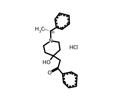 C[C@H](c1ccccc1)N1CCC(O)(CC(=O)c2ccccc2)CC1.Cl